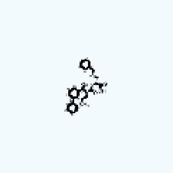 CCCN(C(=O)N[C@H](CSCc1ccccc1)C(=O)O)C(=O)c1cccc(-c2ccccc2)c1